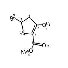 COC(=O)C1=C(O)CC(Br)S1